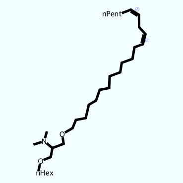 CCCCC/C=C\C/C=C\CCCCCCCCCCCCOCC(COCCCCCC)N(C)C